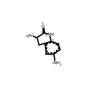 CCCC1Cc2cc(N)ccc2NC1=O